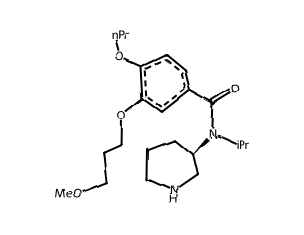 CCCOc1ccc(C(=O)N(C(C)C)[C@@H]2CCCNC2)cc1OCCCOC